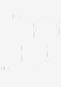 Cc1cccc2c1CC(C)CO2